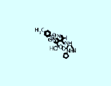 Cc1ccc(S(=O)(=O)n2cc(C(=O)O)c3c(CN[C@H](CC#N)C(=O)NC4CCCC4)c(I)cnc32)cc1